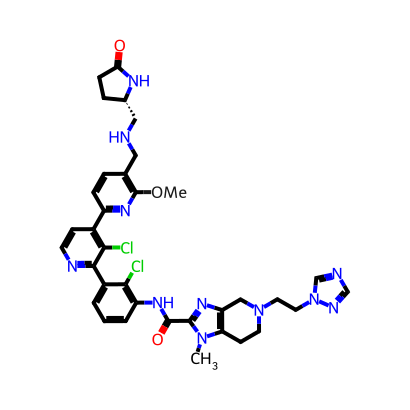 COc1nc(-c2ccnc(-c3cccc(NC(=O)c4nc5c(n4C)CCN(CCn4cncn4)C5)c3Cl)c2Cl)ccc1CNC[C@@H]1CCC(=O)N1